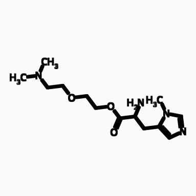 CN(C)CCOCCOC(=O)C(N)Cc1cncn1C